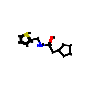 O=C(CC1CCCC1)NCc1cccs1